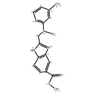 COC(=O)c1ccc2[nH]c(C[S+]([O-])c3cc(C)ccn3)nc2c1